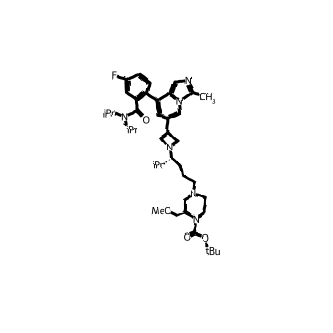 COC[C@H]1CN(CCC[C@H](C(C)C)N2CC(c3cc(-c4ccc(F)cc4C(=O)N(C(C)C)C(C)C)c4cnc(C)n4c3)C2)CCN1C(=O)OC(C)(C)C